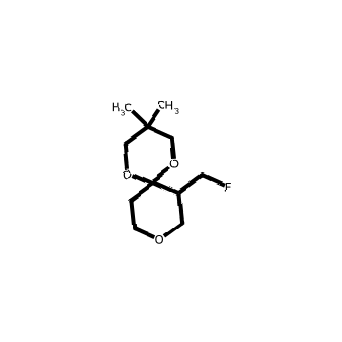 CC1(C)COC2(CCOCC2CF)OC1